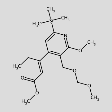 CCC(=CC(=O)OC)c1cc([Si](C)(C)C)nc(OC)c1COCOC